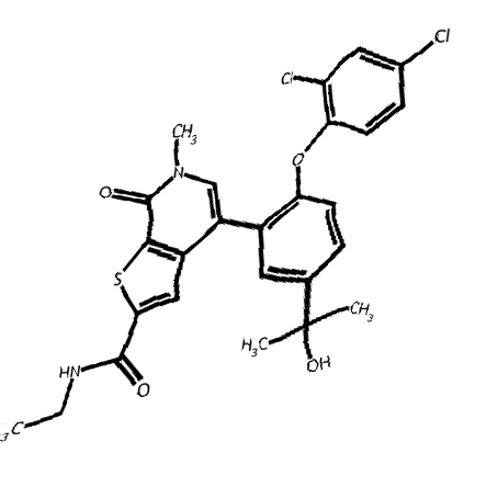 CCNC(=O)c1cc2c(-c3cc(C(C)(C)O)ccc3Oc3ccc(Cl)cc3Cl)cn(C)c(=O)c2s1